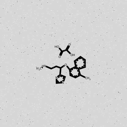 CNCCC(Oc1ccc(C)c2ccccc12)c1cscn1.O=C(O)C(=O)O